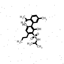 C=C(C)c1ccc(C)cc1-c1c(O)cc(CCC)c(S(=O)(=O)NC(C)C)c1O